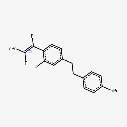 CCC/C(F)=C(\F)c1ccc(CCc2ccc(CCC)cc2)cc1F